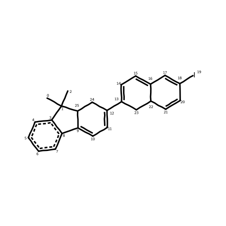 CC1(C)c2ccccc2C2=CC=C(C3=CC=C4C=C(I)C=CC4C3)CC21